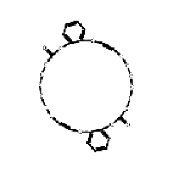 O=C1CCCCCCC=CCc2ccccc2OC(=O)CCCCCCC=CCc2ccccc2C1